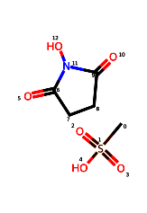 CS(=O)(=O)O.O=C1CCC(=O)N1O